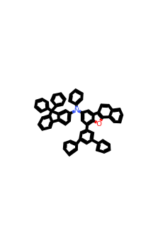 c1ccc(-c2cc(-c3ccccc3)cc(-c3cc(N(c4ccccc4)c4ccc5c(c4)C(c4ccccc4)(c4ccccc4)c4ccccc4-5)cc4c3oc3c5ccccc5ccc43)c2)cc1